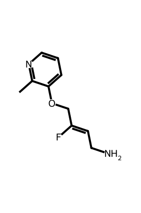 Cc1ncccc1OCC(F)=CCN